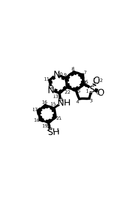 O=S1(=O)CCc2c1ccc1ncnc(Nc3cccc(S)c3)c21